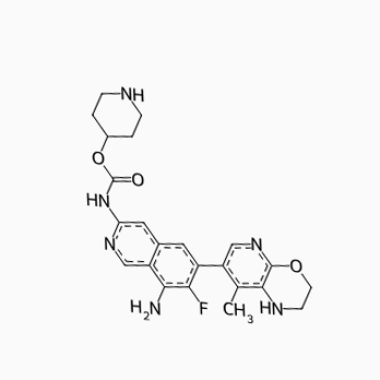 Cc1c(-c2cc3cc(NC(=O)OC4CCNCC4)ncc3c(N)c2F)cnc2c1NCCO2